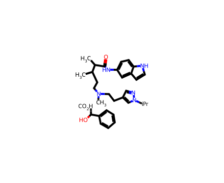 CC(CCN(C)CCc1cnn(C(C)C)c1)C(C)C(=O)Nc1ccc2[nH]ccc2c1.O=C(O)C(O)c1ccccc1